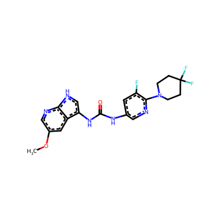 COc1cnc2[nH]cc(NC(=O)Nc3cnc(N4CCC(F)(F)CC4)c(F)c3)c2c1